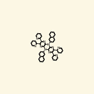 c1ccc(-c2nc3c(nc2-c2ccccn2)N(c2ccc4ccccc4c2)c2nc(-c4ccccn4)c(-c4ccccn4)nc2N3c2ccc3ccccc3c2)nc1